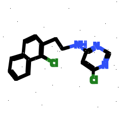 Clc1cc(NCCc2ccc3ccccc3c2Cl)ncn1